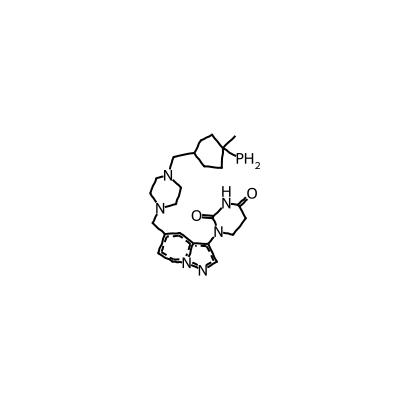 CC1(P)CCC(CN2CCN(Cc3ccn4ncc(N5CCC(=O)NC5=O)c4c3)CC2)CC1